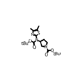 Cc1nc(N(C(=O)OC(C)(C)C)C2CCN(C(=O)OC(C)(C)C)C2)sc1C